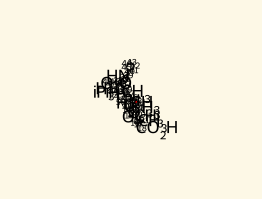 CC(C)C1=C2[C@H]3CC[C@@H]4[C@@]5(C)CC[C@H](OC(=O)[C@H]6C[C@@H](C(=O)O)C6(C)C)C(C)(C)[C@@H]5CC[C@@]4(C)[C@]3(C)CC[C@@]2(CC(=O)NCc2ccccc2)CC1=O